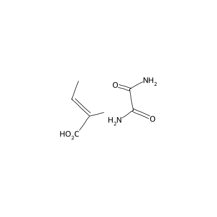 CC=C(C)C(=O)O.NC(=O)C(N)=O